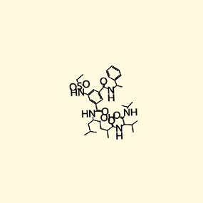 CCS(=O)(=O)Nc1cc(C(=O)NC(C)c2ccccc2)cc(C(=O)NC(CC(C)C)C(O)CC(C)C(=O)NC(C(=O)NC(C)C)C(C)C)c1